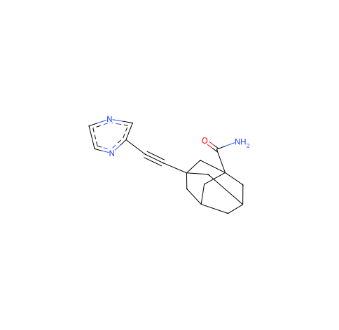 NC(=O)C12CC3CC(CC(C#Cc4cnccn4)(C3)C1)C2